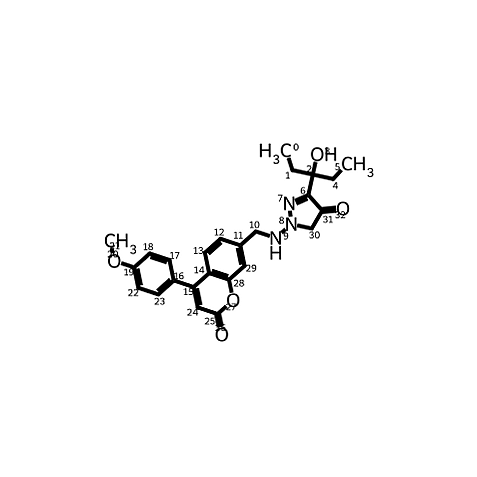 CCC(O)(CC)C1=NN(NCc2ccc3c(-c4ccc(OC)cc4)cc(=O)oc3c2)CC1=O